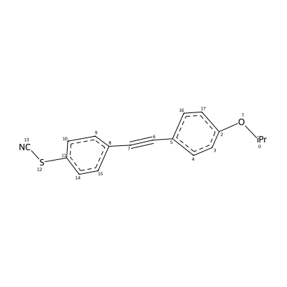 CC(C)Oc1ccc(C#Cc2ccc(SC#N)cc2)cc1